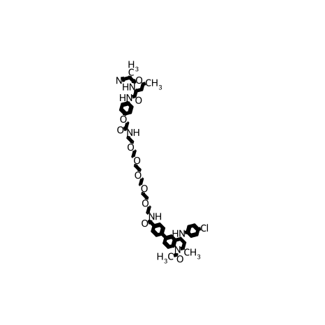 CCCC(NC(=O)C(C)C#N)C(=O)Nc1ccc(OCC(=O)NCCOCCOCCOCCOCCOCCNC(=O)c2ccc(-c3ccc4c(c3)[C@H](Nc3ccc(Cl)cc3)C[C@H](C)N4C(C)=O)cc2)cc1